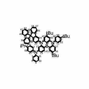 CC(C)c1ccc(N(c2ccccc2)c2ccc3c(c2)N(c2ccc4c(c2)-c2ccccc2C4(c2ccccc2)c2ccccc2)c2cc(C(C)(C)C)cc4c2B3c2cc(C(C)(C)C)ccc2N4c2ccc(C(C)(C)C)cc2)cc1